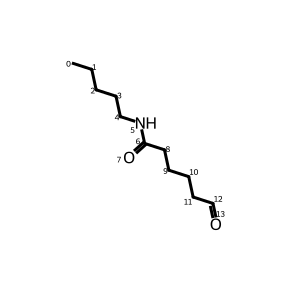 CCCCCNC(=O)CCCCC=O